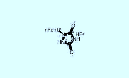 CCCCCn1[nH]c(=O)[nH]c1=O.F